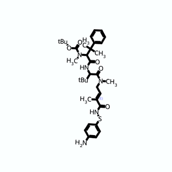 C/C(=C\CN(C)C(=O)C(NC(=O)C(N(C)C(=O)OC(C)(C)C)C(C)(C)c1ccccc1)C(C)(C)C)C(=O)NSc1ccc(N)cc1